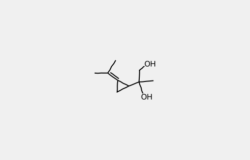 CC(C)=C1CC1C(C)(O)CO